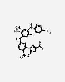 CNc1cc(Nc2ccc(C)nn2)c(F)cc1Nc1ccc(CO)c(-n2nc(C(F)F)cc2C)n1